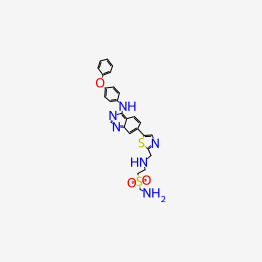 NCS(=O)(=O)CCNCc1ncc(-c2ccc3c(Nc4ccc(Oc5ccccc5)cc4)ncnc3c2)s1